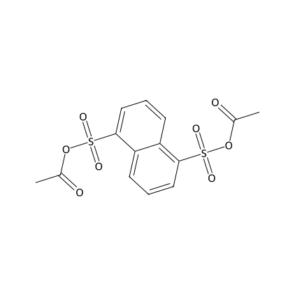 CC(=O)OS(=O)(=O)c1cccc2c(S(=O)(=O)OC(C)=O)cccc12